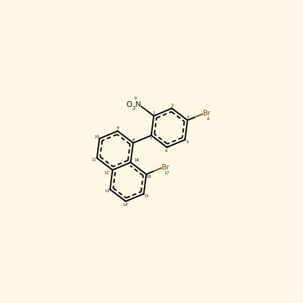 O=[N+]([O-])c1cc(Br)ccc1-c1cccc2cccc(Br)c12